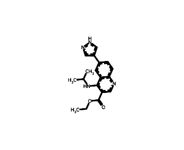 CCOC(=O)c1cnc2ccc(-c3cn[nH]c3)cc2c1NC(C)C